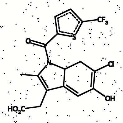 CC1=C(CC(=O)O)C2=CC(O)=C(Cl)CC2N1C(=O)c1ccc(C(F)(F)F)s1